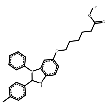 Cc1ccc(C2Nc3ccc(OCCCCCC(=O)OC(C)C)cc3N2c2ccccc2)cc1